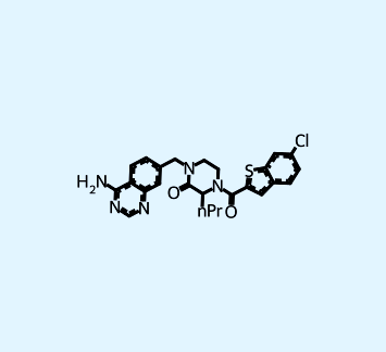 CCCC1C(=O)N(Cc2ccc3c(N)ncnc3c2)CCN1C(=O)c1cc2ccc(Cl)cc2s1